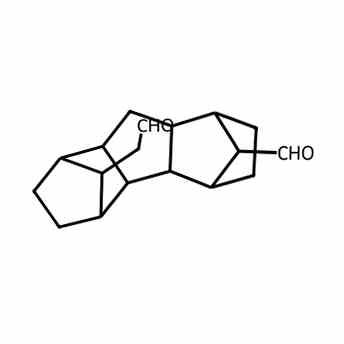 O=CCC1C2CCC1C1C2CC2C3CCC(C3C=O)C21